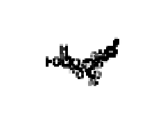 C#Cc1ccc2cc(S(=O)(=O)N3CCN(C(=O)c4nc5c(o4)CNC(O)C5)C(CC(=O)N(C)C)C3)sc2c1